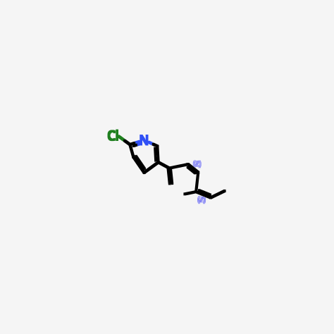 C=C(/C=C\C(C)=C/C)c1ccc(Cl)nc1